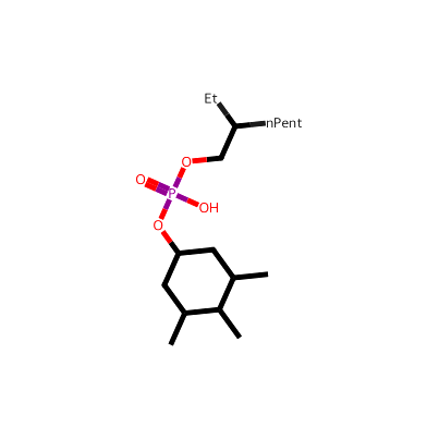 CCCCCC(CC)COP(=O)(O)OC1CC(C)C(C)C(C)C1